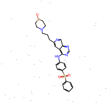 O=S(=O)(c1ccccc1)c1ccc(Nc2ncnc3cnc(CCCN4CC[S+]([O-])CC4)cc23)cc1